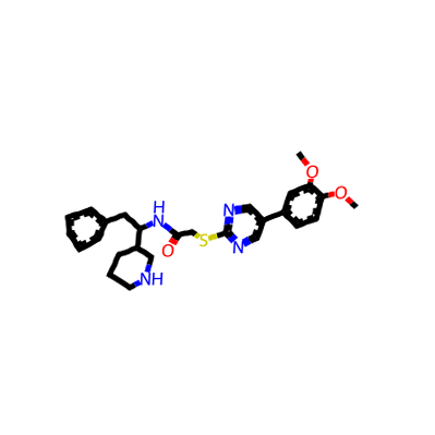 COc1ccc(-c2cnc(SCC(=O)NC(Cc3ccccc3)C3CCCNC3)nc2)cc1OC